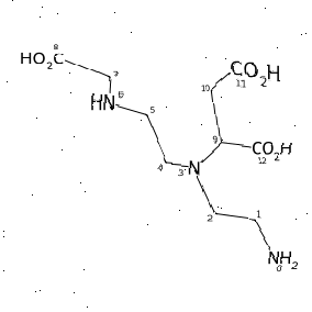 NCCN(CCNCC(=O)O)C(CC(=O)O)C(=O)O